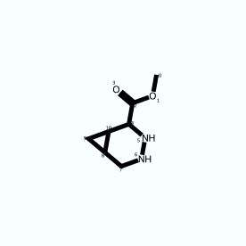 COC(=O)C1NNCC2CC21